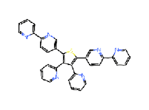 c1ccc(-c2ccc(-c3sc(-c4ccc(-c5ccccn5)nc4)c(-c4ccccn4)c3-c3ccccn3)cn2)nc1